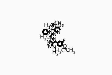 CC(C)Oc1ccc(-c2nn([C@@H](C)c3nc4ncc(Br)c(N(C)C)c4c(=O)n3-c3ccccc3)c3ncnc(N)c23)cc1F